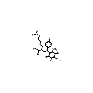 CC1=C(C)C(=O)C(C(CC(CCCCO[N+](=O)[O-])C(=O)O)c2ccc(F)cc2)=C(C)C1=O